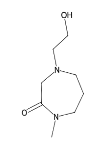 CN1CCCN(CCO)CC1=O